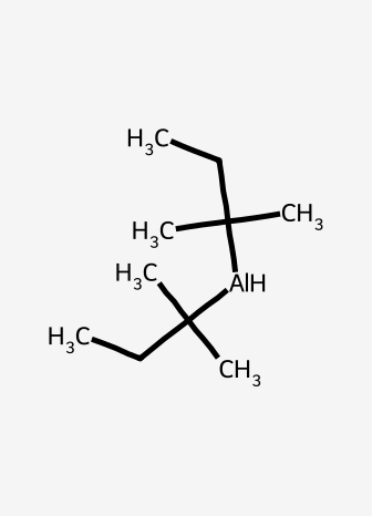 CC[C](C)(C)[AlH][C](C)(C)CC